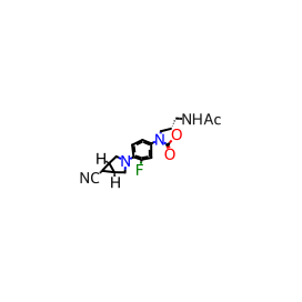 CC(=O)NC[C@H]1CN(c2ccc(N3C[C@@H]4C(C#N)[C@@H]4C3)c(F)c2)C(=O)O1